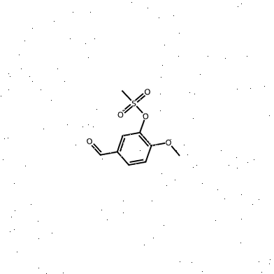 COc1ccc(C=O)cc1OS(C)(=O)=O